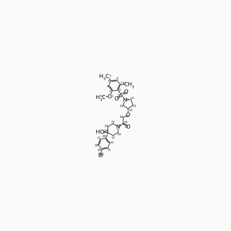 COc1cc(C)cc(C)c1S(=O)(=O)N1CCC(OCC(=O)N2CCC(O)(c3ccc(Br)cc3)CC2)C1